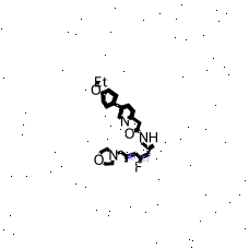 C=C(/C=C(F)\C=C(/C)CN1CCOCC1)CNC(=O)Cc1ccc(-c2ccc(OCC)cc2)cn1